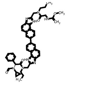 C=C(NCC(=O)N(CCC)Cc1nc2ccc3cc(-c4ccc5c(ccc6nc(CN(CCC)C(=O)[C@@H](c7ccccc7)N(C=O)C7CC7)[nH]c65)c4)ccc3c2[nH]1)OC